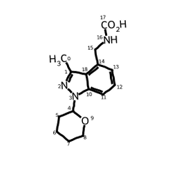 Cc1nn(C2CCCCO2)c2cccc(CNC(=O)O)c12